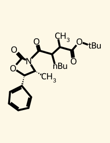 CCCCC(C(=O)N1C(=O)O[C@@H](c2ccccc2)[C@H]1C)C(C)C(=O)OC(C)(C)C